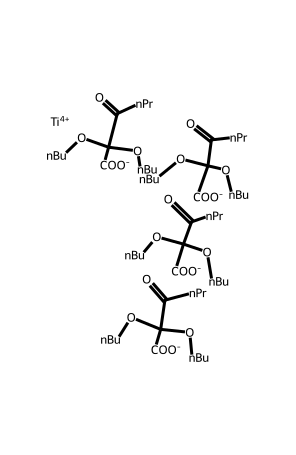 CCCCOC(OCCCC)(C(=O)[O-])C(=O)CCC.CCCCOC(OCCCC)(C(=O)[O-])C(=O)CCC.CCCCOC(OCCCC)(C(=O)[O-])C(=O)CCC.CCCCOC(OCCCC)(C(=O)[O-])C(=O)CCC.[Ti+4]